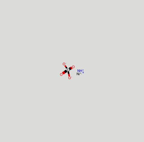 [NH4+].[Ni+].[O]=[Cr](=[O])([O-])[O-]